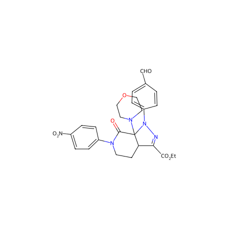 CCOC(=O)C1=NN(c2ccc(C=O)cc2)C2(N3CCOCC3)C(=O)N(c3ccc([N+](=O)[O-])cc3)CCC12